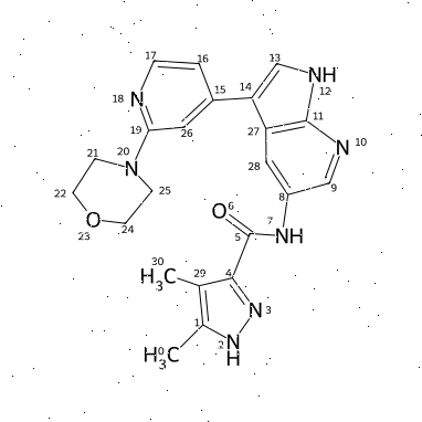 Cc1[nH]nc(C(=O)Nc2cnc3[nH]cc(-c4ccnc(N5CCOCC5)c4)c3c2)c1C